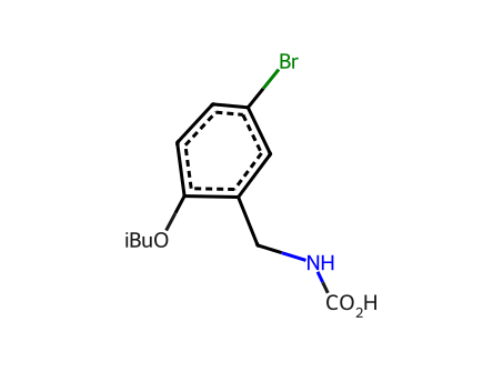 CC(C)COc1ccc(Br)cc1CNC(=O)O